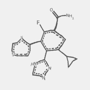 NC(=O)c1cc(C2CC2)c(-c2nnc[nH]2)c(-c2cscn2)c1F